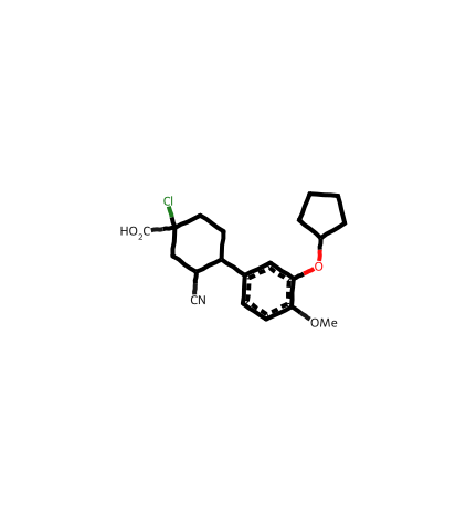 COc1ccc(C2CCC(Cl)(C(=O)O)CC2C#N)cc1OC1CCCC1